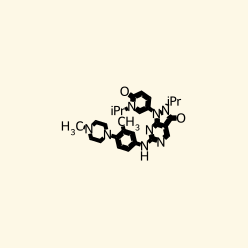 Cc1cc(Nc2ncc3c(=O)n(C(C)C)n(-c4ccc(=O)n(C(C)C)c4)c3n2)ccc1N1CCN(C)CC1